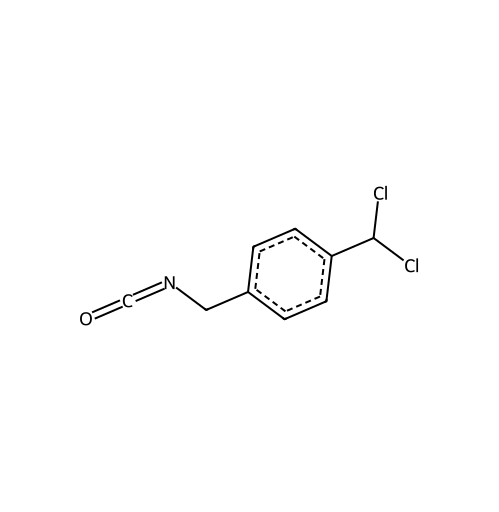 O=C=NCc1ccc(C(Cl)Cl)cc1